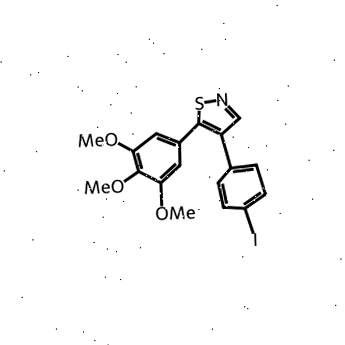 COc1cc(-c2sncc2-c2ccc(I)cc2)cc(OC)c1OC